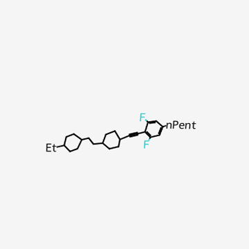 CCCCCc1cc(F)c(C#CC2CCC(CCC3CCC(CC)CC3)CC2)c(F)c1